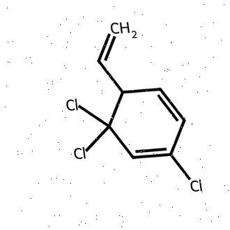 C=CC1C=CC(Cl)=CC1(Cl)Cl